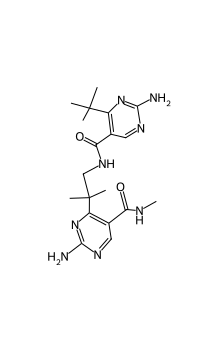 CNC(=O)c1cnc(N)nc1C(C)(C)CNC(=O)c1cnc(N)nc1C(C)(C)C